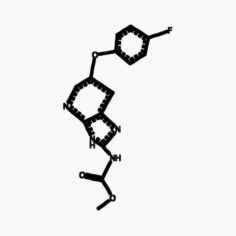 COC(=O)Nc1nc2cc(Oc3ccc(F)cc3)cnc2[nH]1